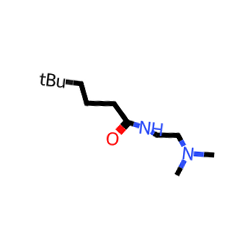 CN(C)CCNC(=O)CCCC(C)(C)C